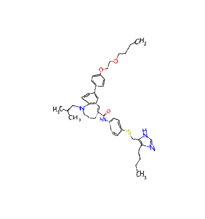 CCCCOCCOc1ccc(-c2ccc3c(c2)C=C(C(=O)Nc2ccc(SCc4[nH]cnc4CCCC)cc2)CCCN3CC(C)C)cc1